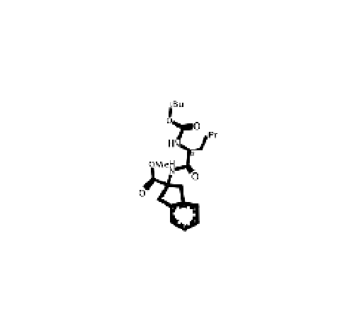 COC(=O)C1(NC(=O)[C@H](CC(C)C)NC(=O)OC(C)(C)C)Cc2ccccc2C1